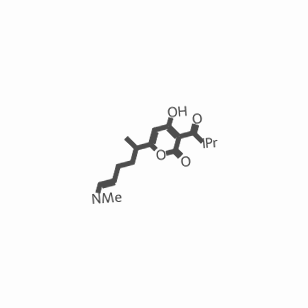 CN/C=C/CCC(C)c1cc(O)c(C(=O)C(C)C)c(=O)o1